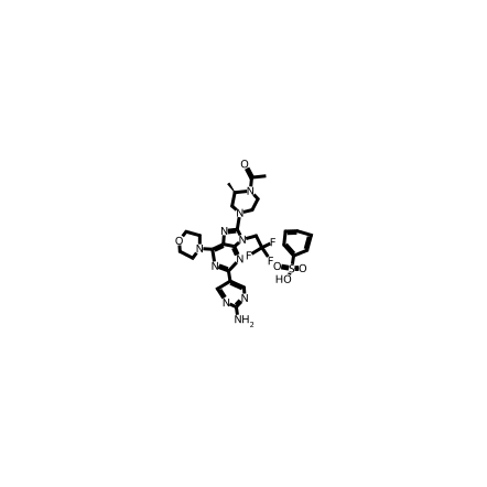 CC(=O)N1CCN(c2nc3c(N4CCOCC4)nc(-c4cnc(N)nc4)nc3n2CC(F)(F)F)C[C@H]1C.O=S(=O)(O)c1ccccc1